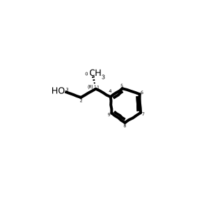 C[C@@H](CO)c1ccccc1